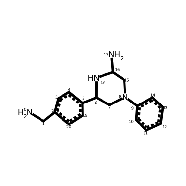 NCc1ccc(C2CN(c3ccccc3)CC(N)N2)cc1